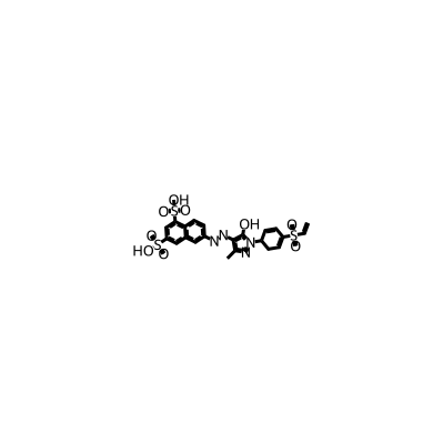 C=CS(=O)(=O)C1=CCC(n2nc(C)c(/N=N/c3ccc4c(S(=O)(=O)O)cc(S(=O)(=O)O)cc4c3)c2O)C=C1